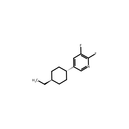 CC[C@H]1CC[C@H](c2cnc(F)c(F)c2)CC1